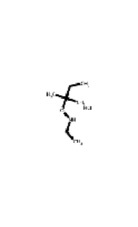 CCNOC(C)(C)CC.Cl